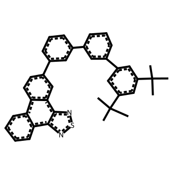 CC(C)(C)c1cc(-c2cccc(-c3cccc(-c4ccc5c6ccccc6c6nsnc6c5c4)c3)c2)cc(C(C)(C)C)c1